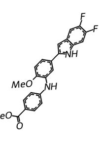 COC(=O)c1ccc(Nc2cc(-c3cc4cc(F)c(F)cc4[nH]3)ccc2OC)cc1